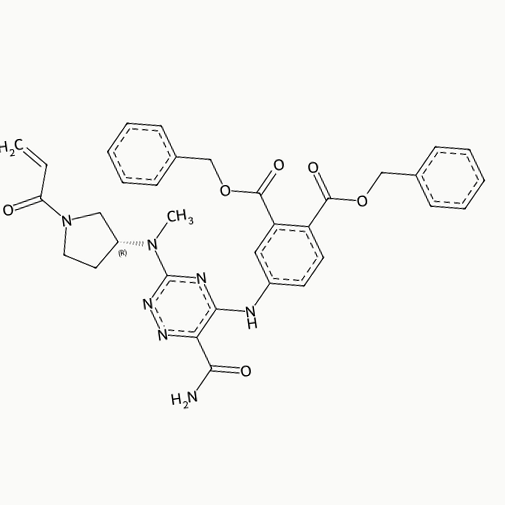 C=CC(=O)N1CC[C@@H](N(C)c2nnc(C(N)=O)c(Nc3ccc(C(=O)OCc4ccccc4)c(C(=O)OCc4ccccc4)c3)n2)C1